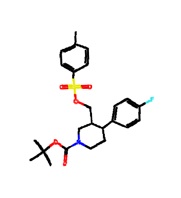 Cc1ccc(S(=O)(=O)OCC2CN(C(=O)OC(C)(C)C)CCC2c2ccc(F)cc2)cc1